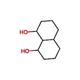 OC1CCCC2CCCC(O)C12